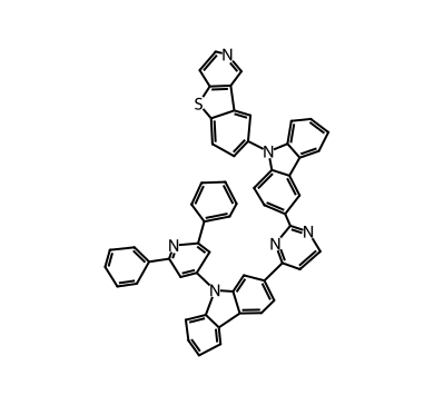 c1ccc(-c2cc(-n3c4ccccc4c4ccc(-c5ccnc(-c6ccc7c(c6)c6ccccc6n7-c6ccc7sc8ccncc8c7c6)n5)cc43)cc(-c3ccccc3)n2)cc1